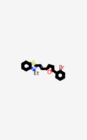 CC[n+]1c(/C=C/c2ccc(-c3ccccc3Br)o2)sc2ccccc21